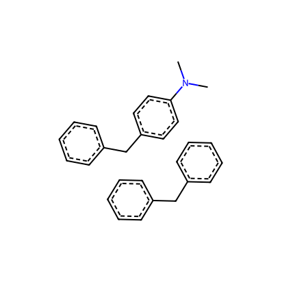 CN(C)c1ccc(Cc2ccccc2)cc1.c1ccc(Cc2ccccc2)cc1